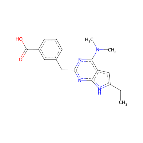 CCc1cc2c(N(C)C)nc(Cc3cccc(C(=O)O)c3)nc2[nH]1